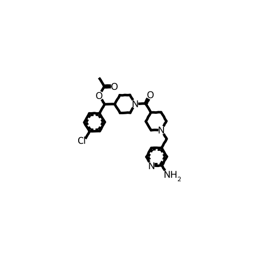 CC(=O)OC(c1ccc(Cl)cc1)C1CCN(C(=O)C2CCN(Cc3ccnc(N)c3)CC2)CC1